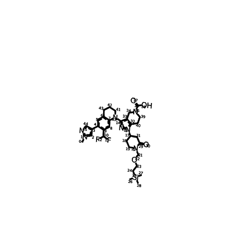 Cn1cc(-c2cc3c(cc2C(F)F)N(c2nn(C4CCN(COCC[Si](C)(C)C)C(=O)C4)c4c2CN(C(=O)O)CC4)CCC3)cn1